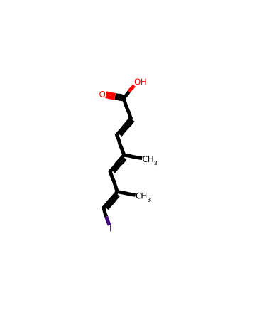 CC(=C\I)/C=C(C)/C=C/C(=O)O